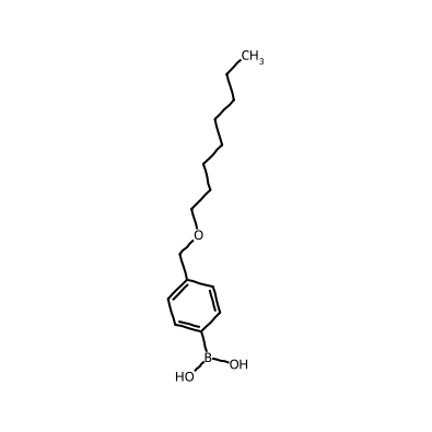 CCCCCCCCOCc1ccc(B(O)O)cc1